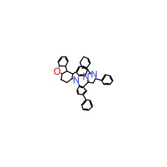 C1=CC2OC3CCC4C(c5ccccc5N4c4ccc(-c5ccccc5)cc4C4=NC(C5=CCCC=C5)=NC(c5ccccc5)C4)C3C2C=C1